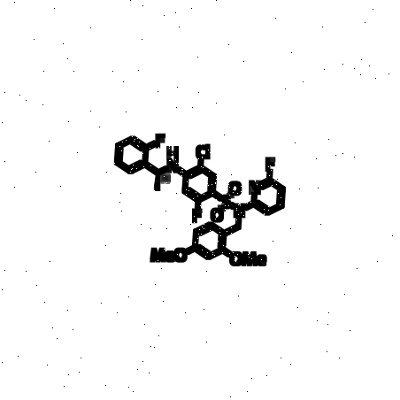 COc1ccc(CN(c2cccc(F)n2)S(=O)(=O)c2cc(Cl)c(N[C@@H](C)c3ccccc3F)cc2F)c(OC)c1